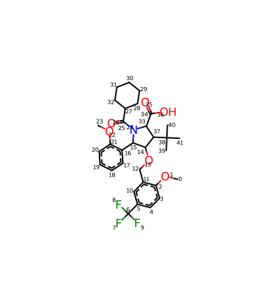 COc1ccc(C(F)(F)F)cc1COC1C(c2ccccc2OC)N(C(=O)C2CCCCC2)C(C(=O)O)C1C(C)(C)C